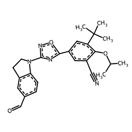 CC(C)Oc1c(C#N)cc(-c2nc(N3CCc4cc(C=O)ccc43)no2)cc1C(C)(C)C